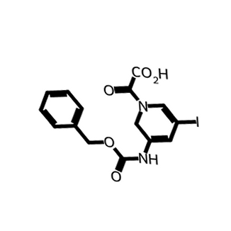 O=C(NC1=CC(I)=CN(C(=O)C(=O)O)C1)OCc1ccccc1